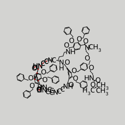 CN(CCOCCOCCNC(=O)OC(C)(C)C)C(=O)c1ccc(C(=O)NCCCC2CN3CCNC(=O)c4ccc(c(OCc5ccccc5)c4OCc4ccccc4)C(=O)NCCN(CCNC(=O)c4ccc(c(OCc5ccccc5)c4OCc4ccccc4)C(=O)NCC3)CCNC(=O)c3ccc(c(OCc4ccccc4)c3OCc3ccccc3)C(=O)N2)c(OCc2ccccc2)c1OCc1ccccc1